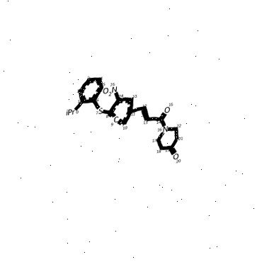 CC(C)c1ccccc1Sc1ccc(C=CC(=O)N2CCC(=O)CC2)cc1[N+](=O)[O-]